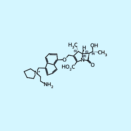 C[C@@H](O)[C@H]1C(=O)N2C(C(=O)O)=C(COc3cccc4c(C[N+]5(CCN)CCCC5)cccc34)[C@H](C)[C@H]12